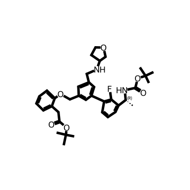 C[C@@H](NC(=O)OC(C)(C)C)c1cccc(-c2cc(CNC3CCOC3)cc(COc3ccccc3CC(=O)OC(C)(C)C)c2)c1F